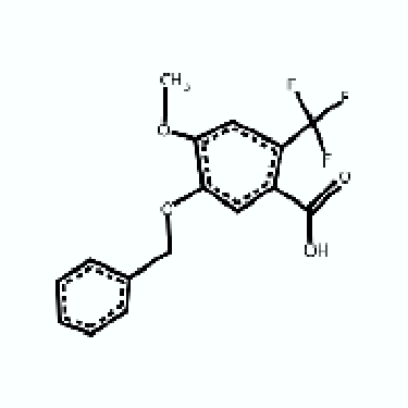 COc1cc(C(F)(F)F)c(C(=O)O)cc1OCc1ccccc1